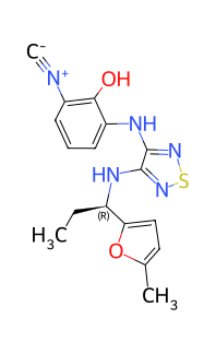 [C-]#[N+]c1cccc(Nc2nsnc2N[C@H](CC)c2ccc(C)o2)c1O